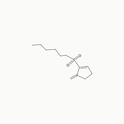 C=C1CCC=C1S(=O)(=O)CCCCCC